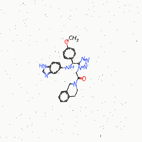 COc1ccc(C(Nc2ccc3[nH]cnc3c2)c2nnnn2CC(=O)N2CCc3ccccc3C2)cc1